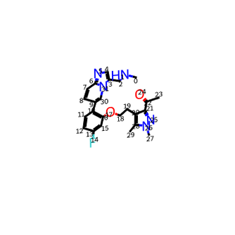 CNCc1cnc2ccc(-c3ccc(F)cc3OCCc3c(C(C)=O)nn(C)c3C)cn12